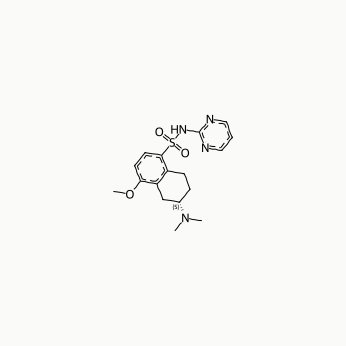 COc1ccc(S(=O)(=O)Nc2ncccn2)c2c1C[C@@H](N(C)C)CC2